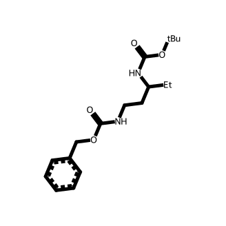 CCC(CCNC(=O)OCc1ccccc1)NC(=O)OC(C)(C)C